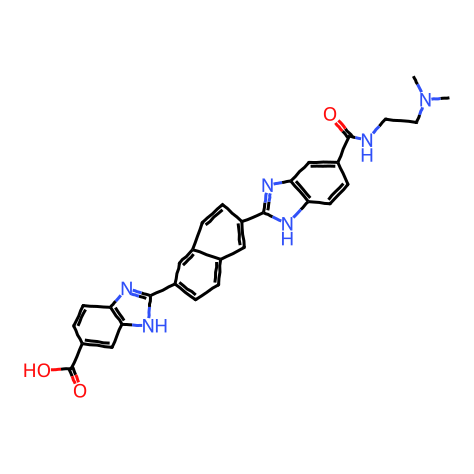 CN(C)CCNC(=O)c1ccc2[nH]c(-c3ccc4cc(-c5nc6ccc(C(=O)O)cc6[nH]5)ccc4c3)nc2c1